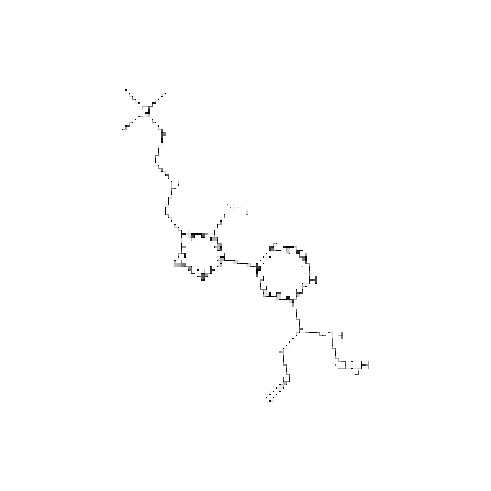 C=CCC(NC(=O)O)c1cc(-c2cnn(COCC[Si](C)(C)C)c2N)ccn1